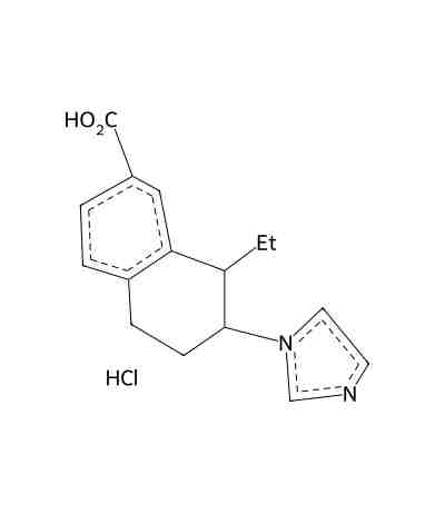 CCC1c2cc(C(=O)O)ccc2CCC1n1ccnc1.Cl